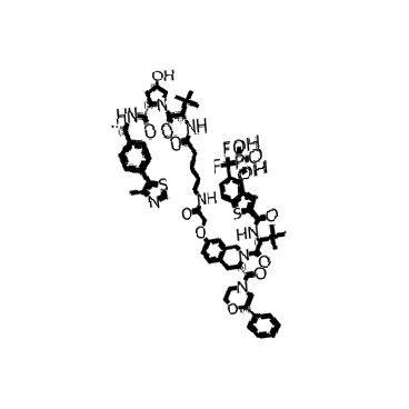 Cc1ncsc1-c1ccc([C@H](C)NC(=O)[C@@H]2C[C@@H](O)CN2C(=O)[C@@H](NC(=O)CCCCNC(=O)COc2ccc3c(c2)CN(C(=O)[C@@H](NC(=O)c2cc4cc(C(F)(F)P(=O)(O)O)ccc4s2)C(C)(C)C)[C@H](C(=O)N2CCO[C@H](c4ccccc4)C2)C3)C(C)(C)C)cc1